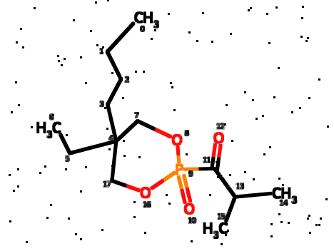 CCCCC1(CC)COP(=O)(C(=O)C(C)C)OC1